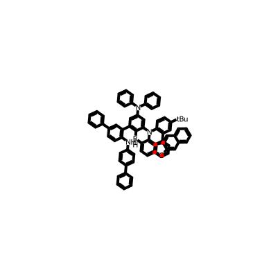 CC(C)(C)c1ccc(N2c3cc(N(c4ccccc4)c4ccccc4)cc(-c4cc(-c5ccccc5)ccc4Nc4ccc(-c5ccccc5)cc4)c3Bc3ccc4oc5cc6ccccc6cc5c4c32)c(-c2ccccc2)c1